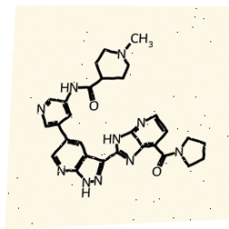 CN1CCC(C(=O)Nc2cncc(-c3cnc4[nH]nc(-c5nc6c(C(=O)N7CCCC7)ccnc6[nH]5)c4c3)c2)CC1